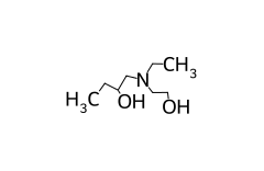 CCC(O)CN(CC)CCO